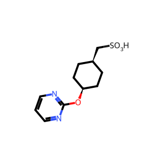 O=S(=O)(O)C[C@H]1CC[C@@H](Oc2ncccn2)CC1